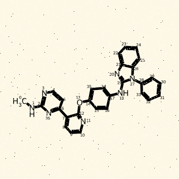 CNc1nccc(-c2cccnc2Oc2ccc(Nc3nc4ccccc4n3-c3ccccc3)cc2)n1